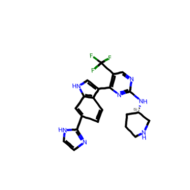 FC(F)(F)c1cnc(N[C@H]2CCCNC2)nc1-c1c[nH]c2cc(-c3ncc[nH]3)ccc12